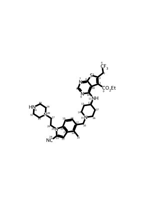 CCOC(=O)c1c(CC(F)(F)F)sc2ncnc(NC3CCN(Cc4ccc5c(cc(C#N)n5CCN5CCNCC5)c4C)CC3)c12